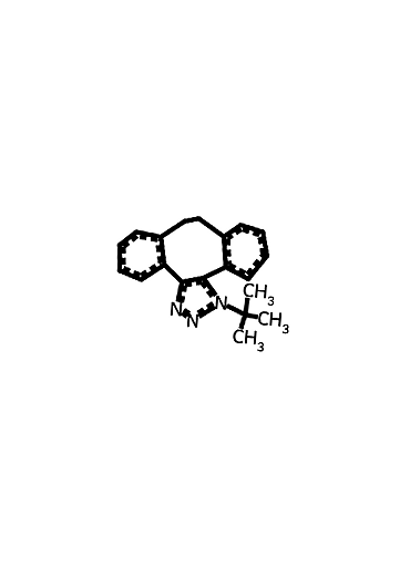 CC(C)(C)n1nnc2c1-c1ccccc1CCc1ccccc1-2